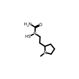 CN1CCCC1CCN(S)C(N)=O